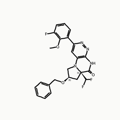 COc1c(F)cccc1-c1cc2c(nn1)NC(=O)[C@]1(C(F)F)C[C@@H](OCc3ccccc3)CN21